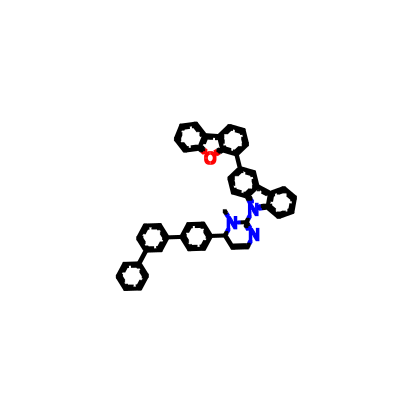 CN1C(n2c3ccccc3c3cc(-c4cccc5c4oc4ccccc45)ccc32)=NC=CC1c1ccc(-c2cccc(-c3ccccc3)c2)cc1